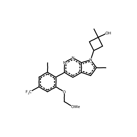 COCOc1cc(C(F)(F)F)cc(C)c1-c1cc2cc(C)n(C3CC(C)(O)C3)c2nn1